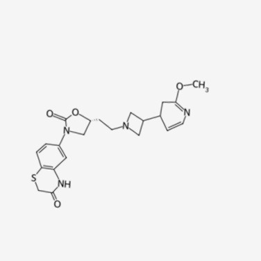 COC1=NC=CC(C2CN(CC[C@@H]3CN(c4ccc5c(c4)NC(=O)CS5)C(=O)O3)C2)C1